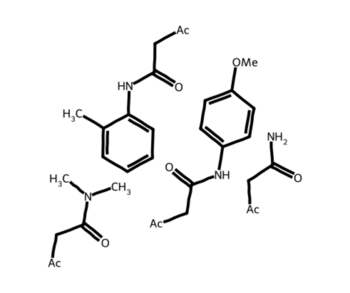 CC(=O)CC(=O)N(C)C.CC(=O)CC(=O)Nc1ccccc1C.CC(=O)CC(N)=O.COc1ccc(NC(=O)CC(C)=O)cc1